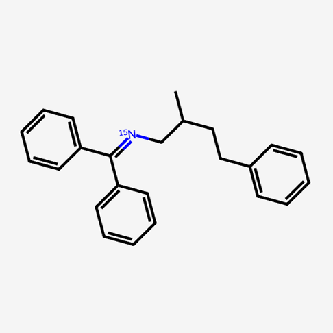 CC(CCc1ccccc1)C[15N]=C(c1ccccc1)c1ccccc1